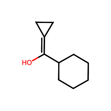 OC(=C1CC1)C1CCCCC1